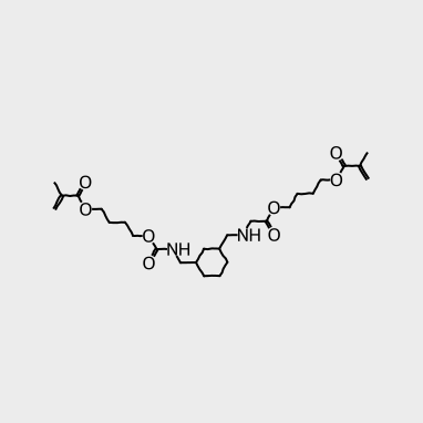 C=C(C)C(=O)OCCCCOC(=O)CNCC1CCCC(CNC(=O)OCCCCOC(=O)C(=C)C)C1